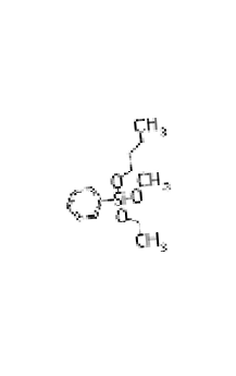 CCCCO[Si](OC)(OCC)c1ccccc1